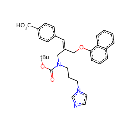 CC(C)(C)OC(=O)N(CCCn1ccnc1)CC(=Cc1ccc(C(=O)O)cc1)COc1cccc2ccccc12